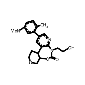 CNc1ccc(C)c(-c2cnc3c(c2)C2CCOCC2OC(=O)N3CCO)c1